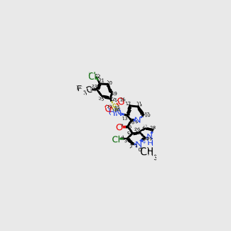 C[n+]1cc(Cl)c(C(=O)c2ncccc2NS(=O)(=O)c2ccc(Cl)c(C(F)(F)F)c2)c2cc[nH]c21